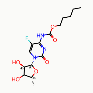 CCCCCOC(=O)Nc1nc(=O)n([C@@H]2O[C@H](C)C(O)[C@H]2O)cc1F